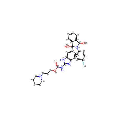 O=C(Nc1nc2ccc(C3(O)c4ccccc4C(=O)N3c3ccc(F)cc3)cc2[nH]1)OCCCN1CCCCC1